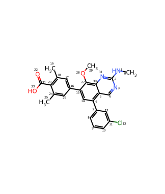 CNc1ncc2c(-c3cccc(Cl)c3)cc(-c3cc(C)c(C(=O)O)c(C)c3)c(OC)c2n1